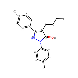 CCCCc1c(-c2ccc(C)cc2)[nH]n(-c2ccc(C)cc2)c1=O